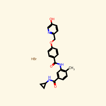 Br.Cc1ccc(C(=O)NC2CC2)cc1NC(=O)c1ccc(OCc2ccc(O)cn2)cc1